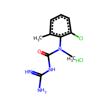 Cc1cccc(Cl)c1N(C)C(=O)NC(=N)N.Cl